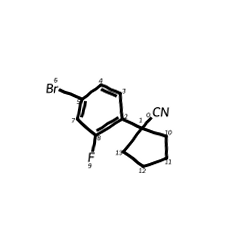 N#CC1(c2ccc(Br)cc2F)CCCC1